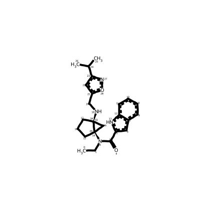 CCN(C(=O)c1cc2ccccc2[nH]1)[C@@]12CCC[C@]1(NCc1cc(C(C)C)no1)C2